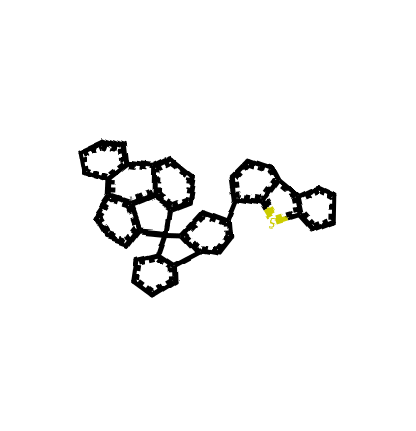 c1ccc2c(c1)-c1ccc(-c3cccc4c3sc3ccccc34)cc1C21c2cccc3c4ccccc4c4cccc1c4c23